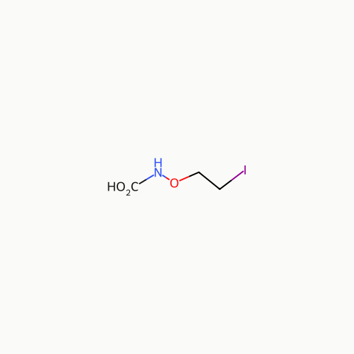 O=C(O)NOCCI